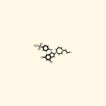 CS(=O)(=O)c1ccc(O[C@H]2c3cc(Cl)cc(Cl)c3C[C@@H]2N2CCCN(CCF)CC2)cc1